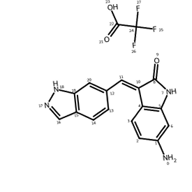 Nc1ccc2c(c1)NC(=O)/C2=C/c1ccc2cn[nH]c2c1.O=C(O)C(F)(F)F